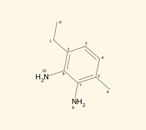 CCc1ccc(C)c(N)c1N